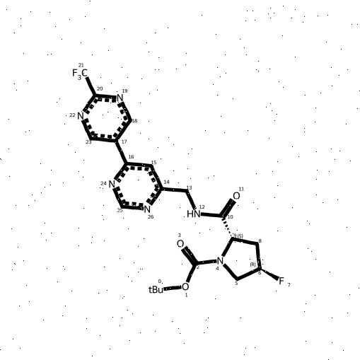 CC(C)(C)OC(=O)N1C[C@H](F)C[C@H]1C(=O)NCc1cc(-c2cnc(C(F)(F)F)nc2)ncn1